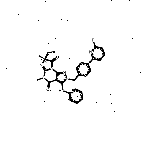 CC[C@@]1(C)N=C2N(C)C(=O)c3c(nn(Cc4ccc(-c5cccc(F)n5)cc4)c3Nc3ccccc3)N2C1=O